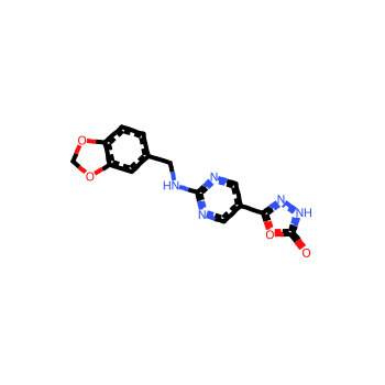 O=c1[nH]nc(-c2cnc(NCc3ccc4c(c3)OCO4)nc2)o1